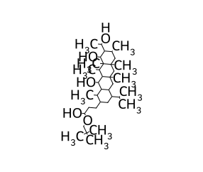 CC(C)C1CC(CCC(O)OCC(C)(C)C)C(C)C2C(O)C3C(C)C4(C)C(O)C(C(C)O)C(C)CC4(C)CC3(C)CC12